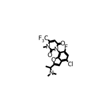 CC(c1cc2c(Cl)cc(F)c(-n3c(=O)cc(C(F)(F)F)n(C)c3=O)c2o1)N(C)C